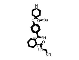 CC(C)(C)OC1(Oc2ccc(C(S)[C@H]3CCCC[C@@H]3C(=O)NCC#N)cc2)CCNCC1